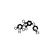 CCN1CCC(Oc2ccc3c(c2)C(=O)N(C2CCC(=O)NC2=O)C3=O)CC1